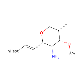 CCCCCCC/C=C/[C@@H]1OC[C@H](C)[C@H](OCCC)[C@@H]1N